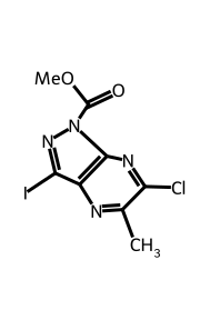 COC(=O)n1nc(I)c2nc(C)c(Cl)nc21